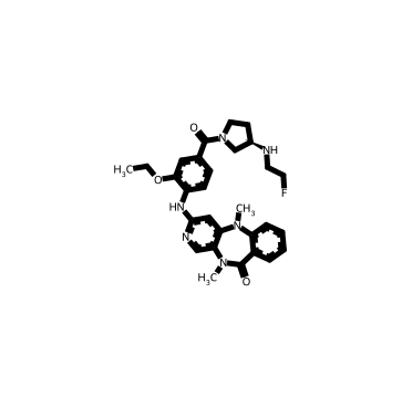 CCOc1cc(C(=O)N2CC[C@@H](NCCF)C2)ccc1Nc1cc2c(cn1)N(C)C(=O)c1ccccc1N2C